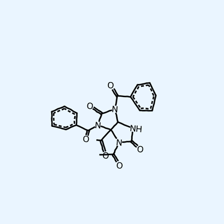 CC(=O)N1C(=O)NC2N(C(=O)c3ccccc3)C(=O)N(C(=O)c3ccccc3)C21C(C)=O